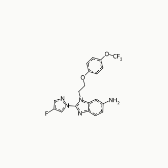 Nc1ccc2nc(-n3cc(F)cn3)n(CCOc3ccc(OC(F)(F)F)cc3)c2c1